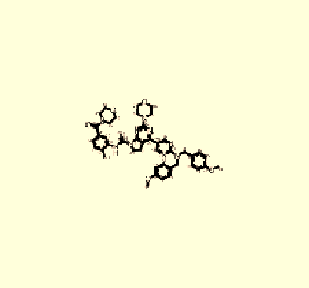 COc1ccc(CN(Cc2ccc(OC)cc2)c2ncc(-c3nc(N4CCOCC4)nc4c3CCN4C(=S)Nc3cc(C(=O)N4CCOCC4)ccc3C)cn2)cc1